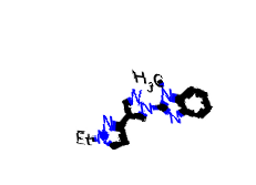 CCn1ccc(-c2cnn(-c3nc4ccccc4n3C)c2)n1